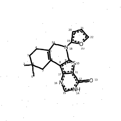 CC1(C)CCC2=C(C1)c1c(sc3c(=O)[nH]cnc13)N(c1ccco1)C2